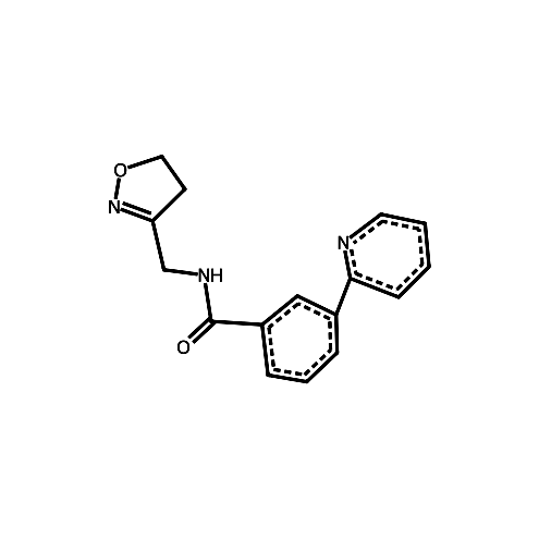 O=C(NCC1=NOCC1)c1cccc(-c2ccccn2)c1